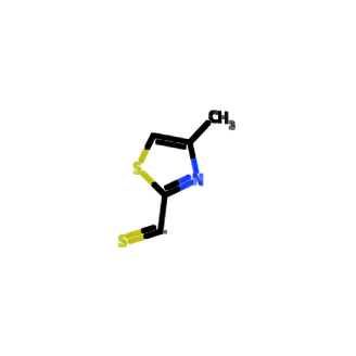 Cc1csc([C]=S)n1